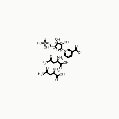 NC(=O)CC(N)C(=O)O.NC(=O)CC(N)C(=O)O.O=C([O-])c1ccc[n+]([C@@H]2O[C@H](COP(=O)(O)O)[C@@H](O)[C@H]2O)c1